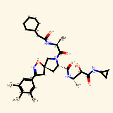 CCC[C@H](NC(=O)[C@@H]1C[C@]2(CC(c3cc(C)c(OC)c(C)c3)=NO2)CN1C(=O)[C@@H](NC(=O)CC1CCCCC1)C(C)(C)C)C(O)C(=O)NC1CC1